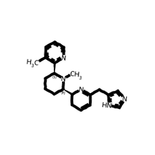 Cc1cccnc1[C@@H]1CCC[C@H](C2CC=CC(Cc3cnc[nH]3)=N2)N1C